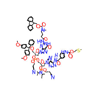 COc1ccc(C(OC[C@H]2O[C@@H](n3cnc4c(=O)[nH]c(NC(=O)CCCN(C)C(=O)OCC5c6ccccc6-c6ccccc65)nc43)CC2OP(OCCC#N)OC[C@H]2O[C@@H](n3cnc4c(NC(=O)c5ccc(NC(=O)OCCSC)cc5)ncnc43)CC2OP(OCCC#N)N(C(C)C)C(C)C)(c2ccccc2)c2ccc(OC)cc2)cc1